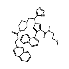 COCCN(C)C(=O)c1cn(C(CC2CCN(C(=O)OCc3ccc4ccccc4c3)CC2)c2cnc[nH]2)cc1-c1cccc2ccccc12